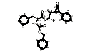 CC(C)[C@H](NC(=O)[C@H](Cc1ccccc1)NC(=O)OCc1ccccc1)C(O)C1C(=O)C1c1ccccc1